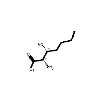 CCCC[C@@H](O)[C@H](N)C(=O)O